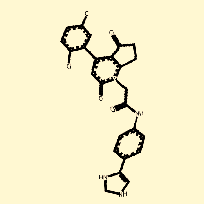 O=C(Cn1c2c(c(-c3cc(Cl)ccc3Cl)cc1=O)C(=O)CC2)Nc1ccc(C2=CNCN2)cc1